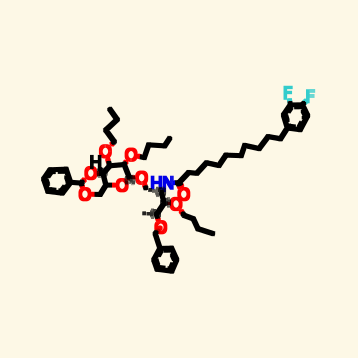 CCCCOC1C(OCCCC)[C@H]2OC(c3ccccc3)OCC2O[C@@H]1OC[C@H](NC(=O)CCCCCCCCCCc1ccc(F)c(F)c1)[C@H](OCCCC)[C@@H](C)OCc1ccccc1